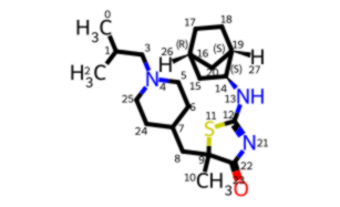 CC(C)CN1CCC(CC2(C)SC(N[C@H]3C[C@@H]4CC[C@H]3C4)=NC2=O)CC1